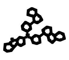 c1cc(-c2cccc3ccccc23)cc(N(c2cccc(-c3cccc4c3ccc3ccccc34)c2)c2ccc3c(c2)sc2ccccc23)c1